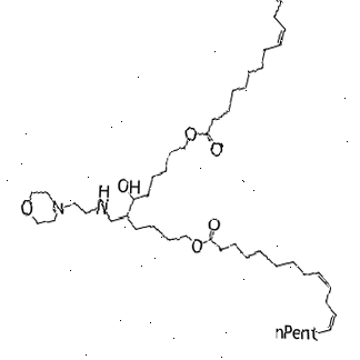 CCCCC/C=C\C/C=C\CCCCCCCC(=O)OCCCCCC(O)C(CCCCOC(=O)CCCCCCC/C=C\C/C=C\CCCCC)CNCCN1CCOCC1